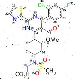 COC(=O)C1=C([C@H]2CC[C@@H](N(CC(=O)O)S(C)(=O)=O)CC2)NC(c2nccs2)=NC1c1ccc(F)cc1Cl